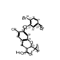 O=C(O)C1Cc2cc(Cl)c(Oc3cc(Br)ccc3Br)cc2OC1C(F)(F)F